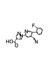 N#Cc1cc(-n2cc(C(=O)O)cn2)ncc1-c1ccccc1F